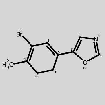 CC1=C(Br)C=C(c2cnco2)CC1